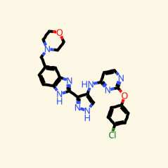 Clc1ccc(Oc2nccc(Nc3c[nH]nc3-c3nc4cc(CN5CCOCC5)ccc4[nH]3)n2)cc1